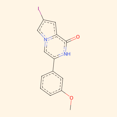 COc1cccc(-c2cn3cc(I)cc3c(=O)[nH]2)c1